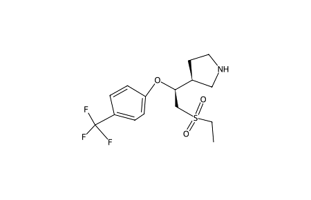 CCS(=O)(=O)C[C@@H](Oc1ccc(C(F)(F)F)cc1)[C@H]1CCNC1